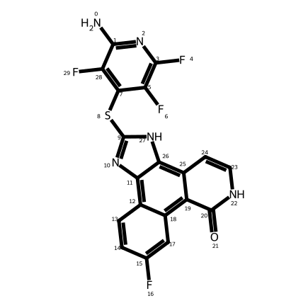 Nc1nc(F)c(F)c(Sc2nc3c4ccc(F)cc4c4c(=O)[nH]ccc4c3[nH]2)c1F